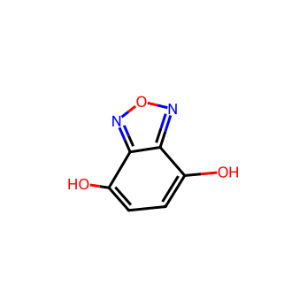 Oc1ccc(O)c2nonc12